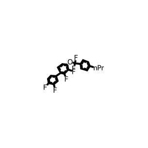 CCCc1ccc(C(F)(F)Oc2ccc(-c3ccc(F)c(F)c3)c(F)c2F)cc1